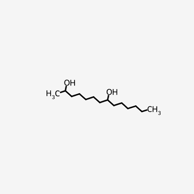 CCCCCCC(O)CCCCCC(C)O